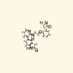 NC(=O)Cc1ccccc1OCCNc1ncccc1-c1ccc2c(c1)CC(=O)N2